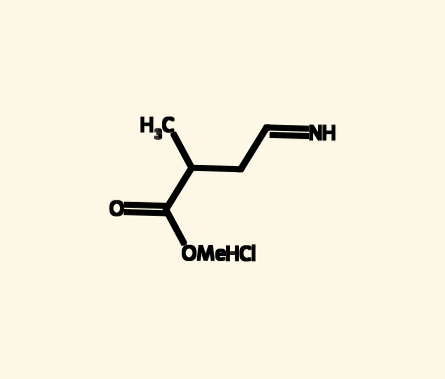 COC(=O)C(C)CC=N.Cl